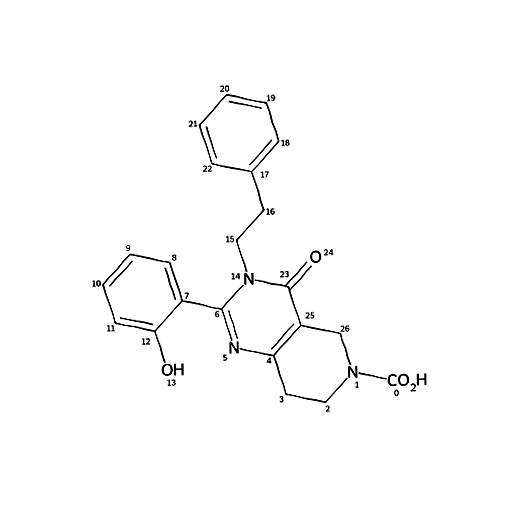 O=C(O)N1CCc2nc(-c3ccccc3O)n(CCc3ccccc3)c(=O)c2C1